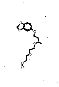 CCOCCOCCOC(C)CCOc1ccc2c(c1)OCO2